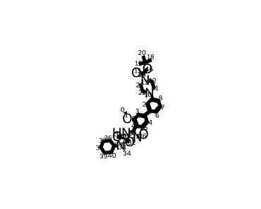 COc1cc(-c2cccc(N3CCN(C(=O)OC(C)(C)C)CC3)c2)cc2onc(NS(=O)(=O)N(C)C3CCCCC3)c12